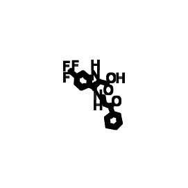 O=C(CCNc1c(C(=O)O)[nH]c2cc(C(F)(F)F)ccc12)c1ccccc1